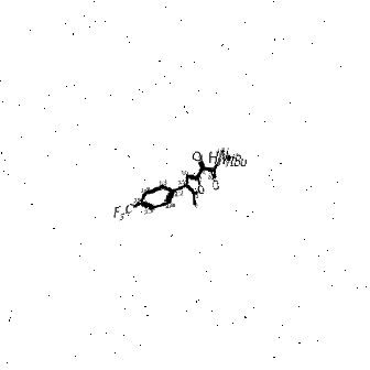 Cc1oc(C(=O)C(=O)NC(C)(C)C)cc1-c1ccc(C(F)(F)F)cc1